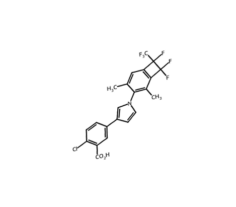 Cc1cc2c(c(C)c1-n1ccc(-c3ccc(Cl)c(C(=O)O)c3)c1)C(F)(F)C2(F)C(F)(F)F